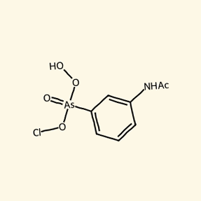 CC(=O)Nc1cccc([As](=O)(OO)OCl)c1